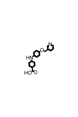 O=C(O)c1ccc(Nc2ccc(OCc3cccnc3)cc2)cc1